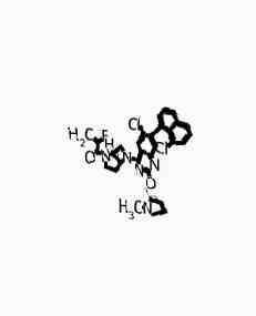 C=C(F)C(=O)N1CCC2[C@H]1CN2c1nc(OC[C@@H]2CCCN2C)nc2cc(-c3cccc4cccc(Cl)c34)c(Cl)cc12